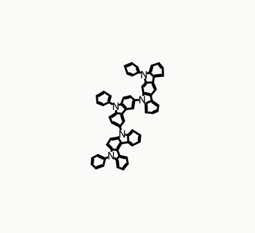 c1ccc(-n2c3ccc(-n4c5ccccc5c5cc6c7ccccc7n(-c7ccccc7)c6cc54)cc3c3cc(-n4c5ccccc5c5c6c7ccccc7n(-c7ccccc7)c6ccc54)ccc32)cc1